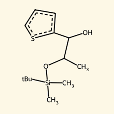 CC(O[Si](C)(C)C(C)(C)C)C(O)c1cccs1